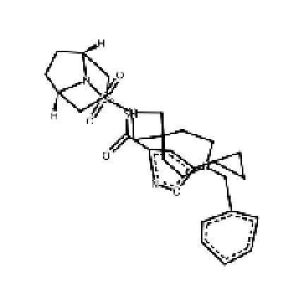 O=C(N[C@H]1C[C@H]2CC[C@@H](C1)N2S(=O)(=O)N1CC2(CCN(Cc3ccccc3)CC2)C1)c1cc(C2CC2)on1